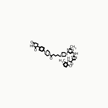 Cc1nc(Nc2ncc(C(=O)Nc3c(C)cccc3Cl)s2)cc(N2CCN(CCCCC(=O)N3CCN(c4ccc(C5CCC(=O)NC5=O)cc4)CC3)CC2)n1